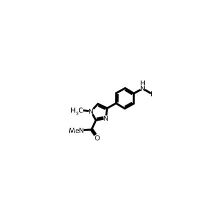 CNC(=O)c1nc(-c2ccc(NI)cc2)cn1C